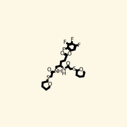 O=C(CSC1CCCCO1)NCC(CCC(=O)Oc1cc(F)c(F)c(F)c1F)NC(=O)CSC1CCCCO1